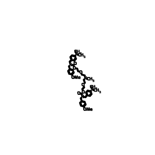 COc1ccc(CN(Cc2ccc(N(C)C)cc2)C(=O)OCCOCCN(C)CCOCCOC(=O)N(Cc2ccc(OC)cc2)Cc2ccc(N(C)C)cc2)cc1